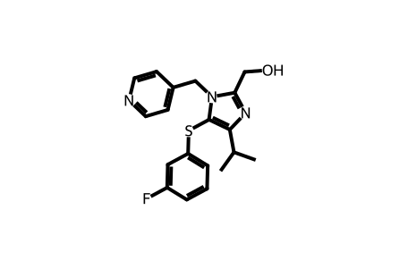 CC(C)c1nc(CO)n(Cc2ccncc2)c1Sc1cccc(F)c1